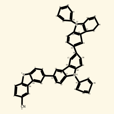 N#Cc1ccc2sc3ccc(-c4ccc5c(c4)c4cc(-c6ccc7c(c6)c6c(n7-c7ccccc7)C=CCC6)ccc4n5-c4ccccc4)cc3c2c1